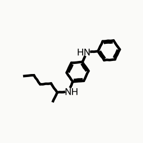 CCCCC(C)Nc1ccc(Nc2ccccc2)cc1